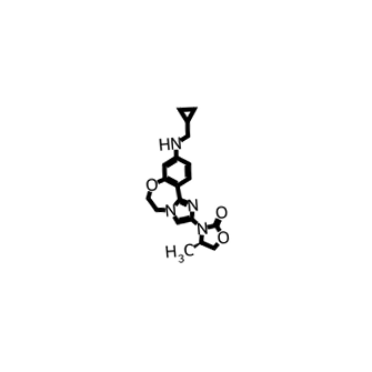 C[C@@H]1COC(=O)N1c1cn2c(n1)-c1ccc(NCC3CC3)cc1OCC2